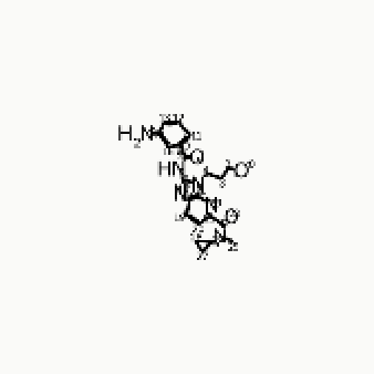 COCCCn1c(NC(=O)c2cccc(N)c2)nc2ccc(C(=O)N(C)C3CC3)nc21